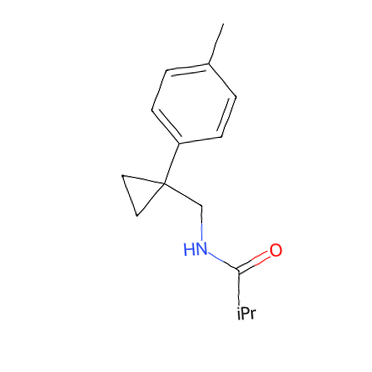 Cc1ccc(C2(CNC(=O)C(C)C)CC2)cc1